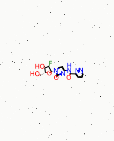 O=C(Nc1ccn([C@@H]2O[C@H](CO)[C@@H](O)[C@H]2F)c(=O)n1)c1cccnn1